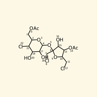 CC(=O)OCC1OC(OC2(CCl)OC(CCl)C(OC(C)=O)C2O)C(O)C(O)C1Cl